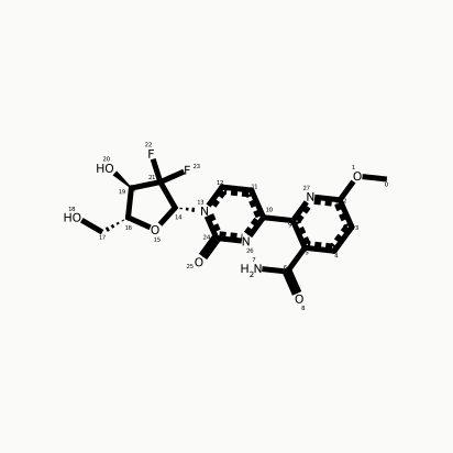 COc1ccc(C(N)=O)c(-c2ccn([C@@H]3O[C@H](CO)[C@@H](O)C3(F)F)c(=O)n2)n1